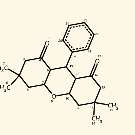 CC1(C)CC(=O)C2C(C1)OC1CC(C)(C)CC(=O)C1C2c1ccccc1